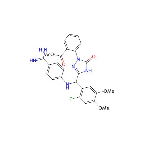 COc1cc(F)c(C(Nc2ccc(C(=N)N)cc2)c2nn(-c3ccccc3C(=O)OC(C)=O)c(=O)[nH]2)cc1OC